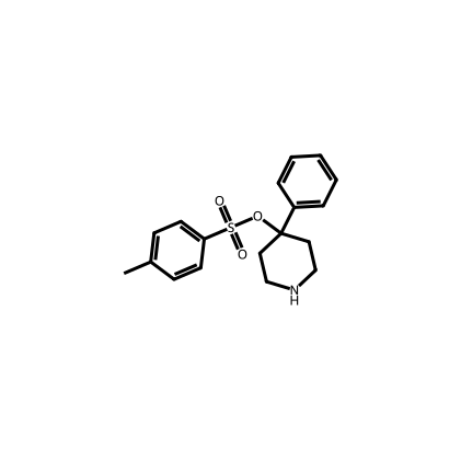 Cc1ccc(S(=O)(=O)OC2(c3ccccc3)CCNCC2)cc1